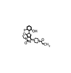 C=CC(=O)N1CCN(c2nc(=O)n3c4c2=CC(c2c(O)cccc2F)C=4OCC3)CC1